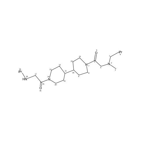 CC(C)CN(C)CC(=O)N1CCC(C2CCN(C(=O)CNC(C)C)CC2)CC1